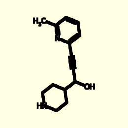 Cc1cccc(C#CC(O)C2CCNCC2)n1